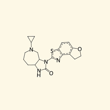 O=C1NC2CCCN(C3CC3)CC2N1c1nc2c3c(ccc2s1)OCC3